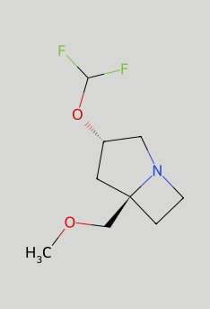 COC[C@]12CCN1C[C@@H](OC(F)F)C2